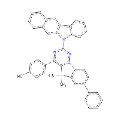 CC1(C)c2cc(-c3ccccc3)ccc2-c2nc(-n3c4ccccc4c4cc5ccccc5cc43)nc(-c3ccc(C#N)cc3)c21